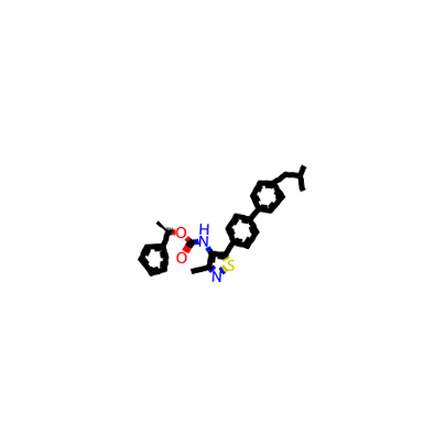 Cc1nsc(-c2ccc(-c3ccc(CC(C)C)cc3)cc2)c1NC(=O)O[C@H](C)c1ccccc1